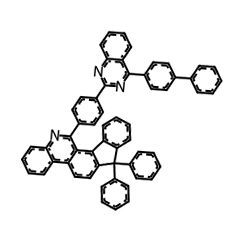 c1ccc(-c2ccc(-c3nc(-c4ccc(-c5nc6ccccc6c6ccc7c(c56)-c5ccccc5C7(c5ccccc5)c5ccccc5)cc4)nc4ccccc34)cc2)cc1